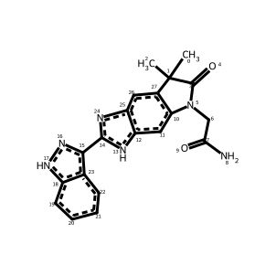 CC1(C)C(=O)N(CC(N)=O)c2cc3[nH]c(-c4n[nH]c5ccccc45)nc3cc21